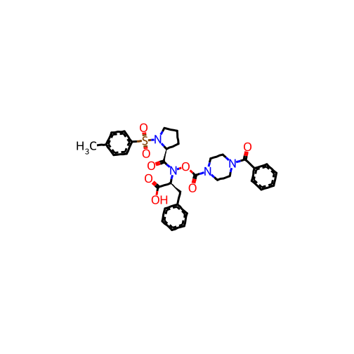 Cc1ccc(S(=O)(=O)N2CCC[C@H]2C(=O)N(OC(=O)N2CCN(C(=O)c3ccccc3)CC2)[C@@H](Cc2ccccc2)C(=O)O)cc1